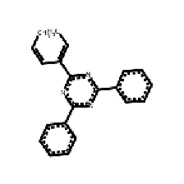 C/C=C\C(=C/C)c1nc(-c2ccccc2)nc(-c2ccccc2)n1